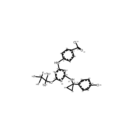 [2H]C([2H])(Oc1nc(Nc2ccc(C(=O)Cl)cc2)nc(NC2(c3ccc(Cl)cc3)CC2)n1)C(F)(F)F